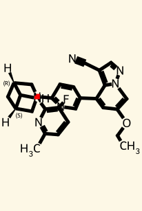 CCOc1cc(-c2ccc(N3C[C@H]4C[C@@H](C3)C4Nc3nc(C)ccc3F)nc2)c2c(C#N)cnn2c1